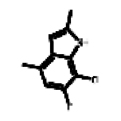 Cc1cc2c(C)cc(F)c(Cl)c2[nH]1